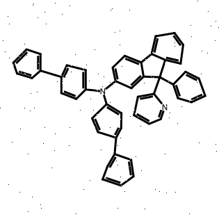 c1ccc(-c2ccc(N(c3ccc(-c4ccccc4)cc3)c3ccc4c(c3)C(c3ccccc3)(c3ccccn3)c3ccccc3-4)cc2)cc1